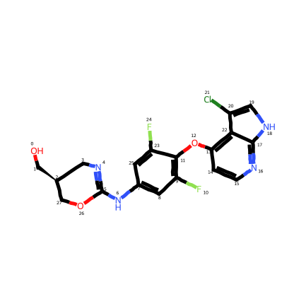 OC[C@H]1CN=C(Nc2cc(F)c(Oc3ccnc4[nH]cc(Cl)c34)c(F)c2)OC1